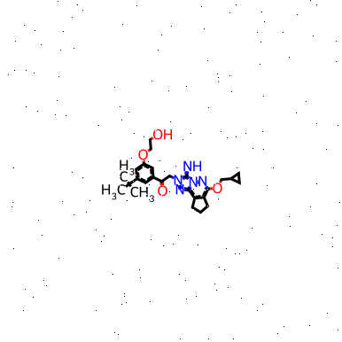 CC(C)(C)c1cc(OCCO)cc(C(=O)Cn2nc3c4c(c(OCC5CC5)nn3c2=N)CCC4)c1